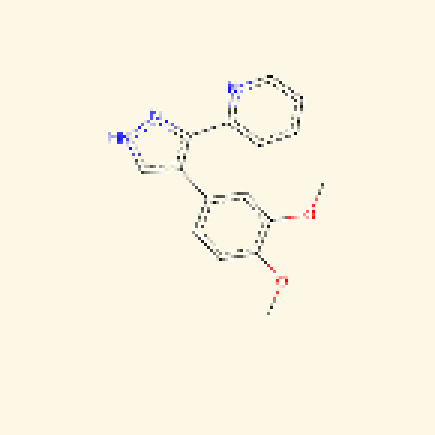 COc1ccc(-c2c[nH]nc2-c2ccccn2)cc1OC